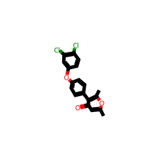 Cc1cc(=O)c(-c2ccc(Oc3ccc(Cl)c(Cl)c3)cc2)c(C)o1